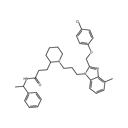 Cc1cccc2c1nc(COc1ccc(Cl)cc1)n2CCCN1CCCCC1CCC(=O)NC(C)c1ccccc1